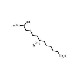 CCCCCCC(O)CCCCCCCCCCC(=O)O.O.[Zr]